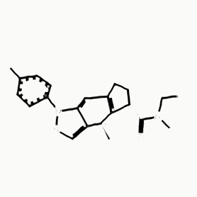 CC(C)CN(C)C(=O)[C@H]1CCC2=C1[C@@H](C)C1=CNN(c3ccc(F)cc3)C1=C2